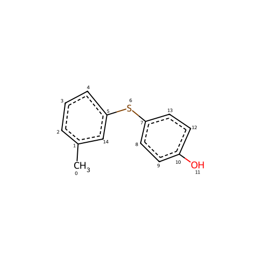 Cc1cccc(Sc2ccc(O)cc2)c1